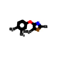 CCOC(=O)c1sc(CC)nc1Oc1ccc([N+](=O)[O-])c(C(F)(F)F)c1